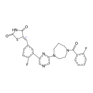 O=C1NC(=O)/C(=C/c2ccc(F)c(-c3cncc(N4CCCN(C(=O)c5ccccc5F)CC4)n3)c2)S1